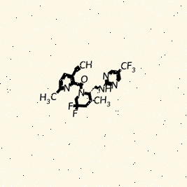 C#Cc1ccc(C)nc1C(=O)N1CC(F)(F)C[C@@H](C)[C@H]1CNc1ncc(C(F)(F)F)cn1